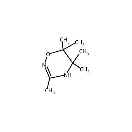 CC1=NOC(C)(C)C(C)(C)N1